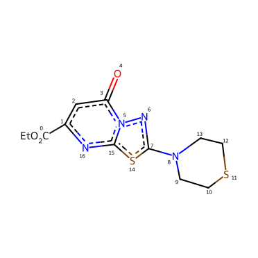 CCOC(=O)c1cc(=O)n2nc(N3CCSCC3)sc2n1